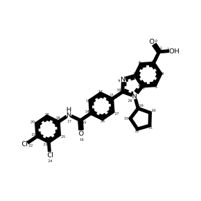 O=C(O)c1ccc2c(c1)nc(-c1ccc(C(=O)Nc3ccc(Cl)c(Cl)c3)cc1)n2C1CCCC1